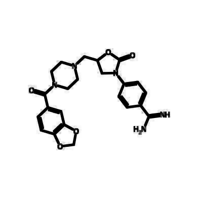 N=C(N)c1ccc(N2CC(CN3CCN(C(=O)c4ccc5c(c4)OCO5)CC3)OC2=O)cc1